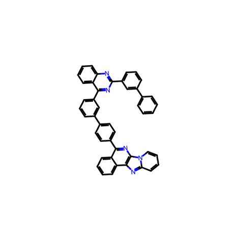 c1ccc(-c2cccc(-c3nc(-c4cccc(-c5ccc(-c6nc7c(nc8ccccn87)c7ccccc67)cc5)c4)c4ccccc4n3)c2)cc1